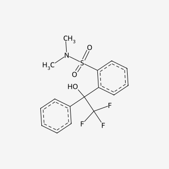 CN(C)S(=O)(=O)c1ccccc1C(O)(c1ccccc1)C(F)(F)F